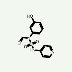 O=[C]N(c1cccc(O)c1)S(=O)(=O)Nc1ccncc1